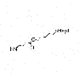 CCCCCCCCCCCCOC(=O)CCC=N